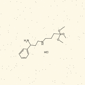 CO[Si](CCCNCCC(N)c1ccccc1)(OC)OC.Cl